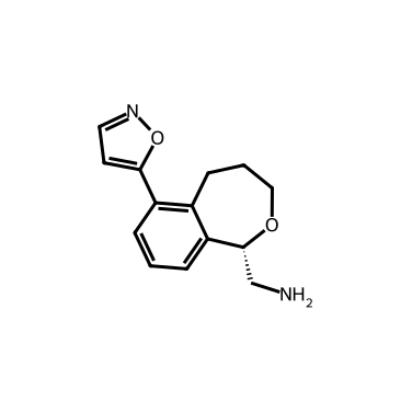 NC[C@H]1OCCCc2c(-c3ccno3)cccc21